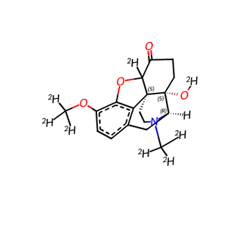 [2H]O[C@@]12CCC(=O)C3([2H])Oc4c(OC([2H])([2H])[2H])ccc5c4[C@@]31CCN(C([2H])([2H])[2H])[C@@H]2C5